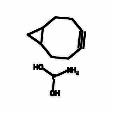 C1#CCCC2CC2CC1.NP(O)O